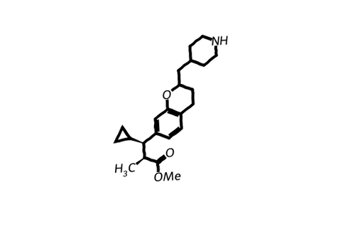 COC(=O)[C@@H](C)[C@H](c1ccc2c(c1)OC(CC1CCNCC1)CC2)C1CC1